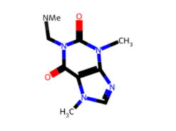 CNCn1c(=O)c2c(ncn2C)n(C)c1=O